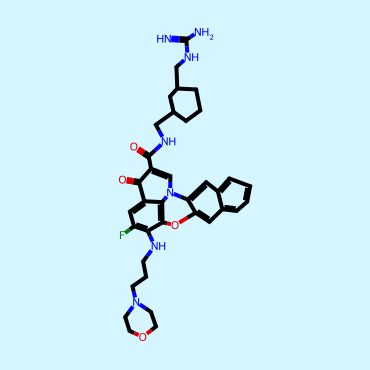 N=C(N)NCC1CCCC(CNC(=O)c2cn3c4c(c(NCCCN5CCOCC5)c(F)cc4c2=O)Oc2cc4ccccc4cc2-3)C1